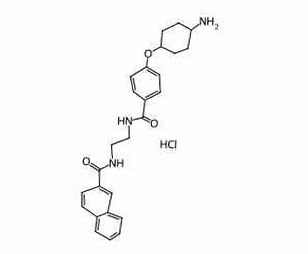 Cl.NC1CCC(Oc2ccc(C(=O)NCCNC(=O)c3ccc4ccccc4c3)cc2)CC1